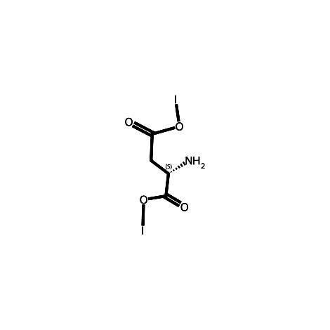 N[C@@H](CC(=O)OI)C(=O)OI